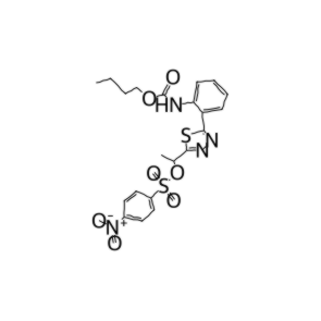 CCCCOC(=O)Nc1ccccc1-c1nnc(C(C)OS(=O)(=O)c2ccc([N+](=O)[O-])cc2)s1